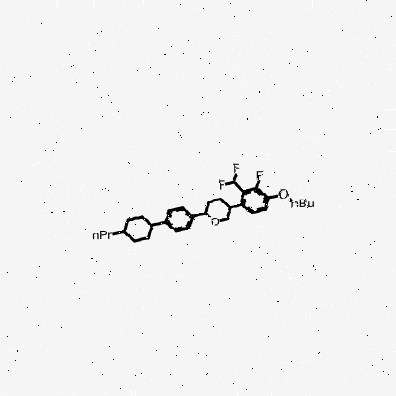 CCCCOc1ccc(C2CCC(c3ccc(C4CCC(CCC)CC4)cc3)OC2)c(C(F)F)c1F